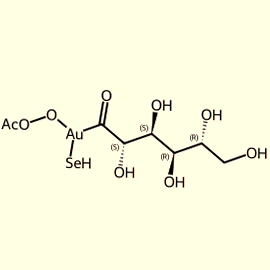 CC(=O)O[O][Au]([SeH])[C](=O)[C@@H](O)[C@@H](O)[C@H](O)[C@H](O)CO